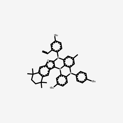 C=Cc1cc(C(C)(C)C)ccc1N1c2cc(C)cc3c2B(c2cc(C(C)(C)C)ccc2N3c2ccc(C(C)(C)C)cc2)c2c1oc1cc3c(cc21)C(C)(C)CCC3(C)C